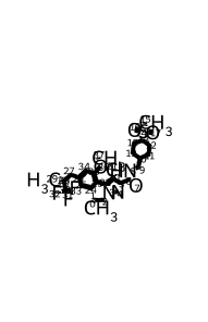 CCCn1nc(C(=O)NCC2CCC(S(C)(=O)=O)CC2)c(Cl)c1-c1ccc(C[C@@H](C)C(F)(F)F)cc1OC